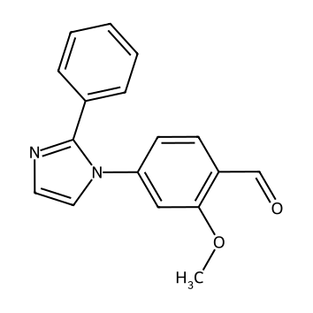 COc1cc(-n2ccnc2-c2ccccc2)ccc1C=O